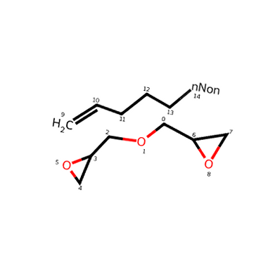 C(OCC1CO1)C1CO1.C=CCCCCCCCCCCCC